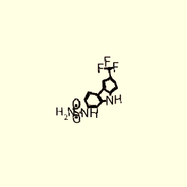 NS(=O)(=O)Nc1ccc2c(c1)[nH]c1ccc(C(F)(F)F)cc12